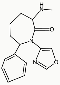 CNC1CCCC(c2ccccc2)N(c2cocn2)C1=O